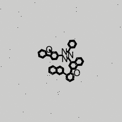 c1ccc(-c2nc(-c3ccc4c(c3)oc3ccccc34)nc(-c3cc4c(oc5cccc(-c6ccc7ccccc7c6)c54)c4ccccc34)n2)cc1